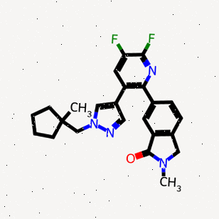 CN1Cc2ccc(-c3nc(F)c(F)cc3-c3cnn(CC4(C)CCCC4)c3)cc2C1=O